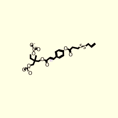 C=CCSSCCC(=O)Oc1ccc(/C=C/C(=O)OCC(CC)(CO[N+](=O)[O-])CO[N+](=O)[O-])cc1